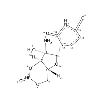 C[C@@]1(N)[C@@H]2O[PH](=O)OC[C@H]2O[C@H]1n1ccc(=O)[nH]c1=O